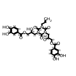 C=CCn1c(=O)n(CC(O)COC(=O)c2ccc(O)c(O)c2)c(=O)n(CC(O)COC(=O)c2ccc(O)c(O)c2)c1=O